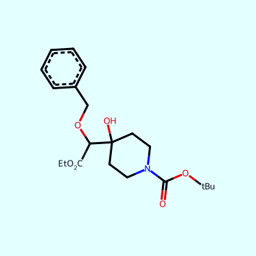 CCOC(=O)C(OCc1ccccc1)C1(O)CCN(C(=O)OC(C)(C)C)CC1